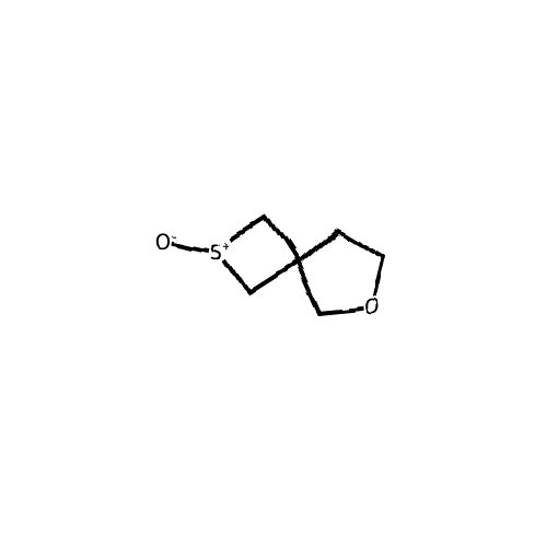 [O-][S+]1CC2(CCOC2)C1